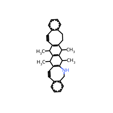 CC1C2=C(CCc3ccccc3C#C2)C(C)C2=C1C(C)C1=C(NCc3ccccc3C#C1)C2C